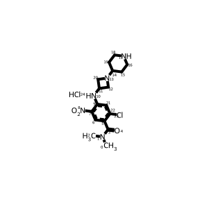 CN(C)C(=O)c1cc([N+](=O)[O-])c(NC2CN(C3CCNCC3)C2)cc1Cl.Cl